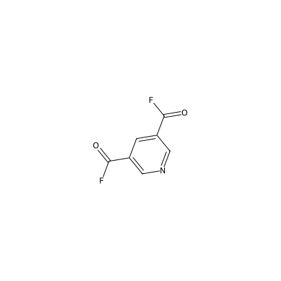 O=C(F)c1cncc(C(=O)F)c1